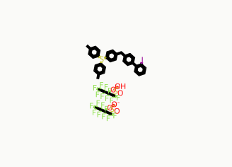 Cc1ccc([S+](c2ccc(C)cc2)c2ccc(Cc3ccc(-c4ccccc4I)cc3)cc2)cc1.O=S(=O)(O)C(F)(F)C(F)(F)C(F)(F)C(F)(F)F.O=S(=O)([O-])C(F)(F)C(F)(F)C(F)(F)C(F)(F)F